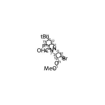 COCOCc1cc(CN2N=Cc3cc(C(C)(C)C)cc(F)c3C2C=O)ccc1Br